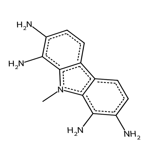 Cn1c2c(N)c(N)ccc2c2ccc(N)c(N)c21